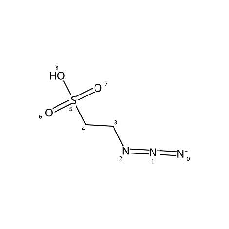 [N-]=[N+]=NCCS(=O)(=O)O